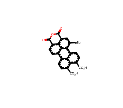 CCCCc1cc2c3c(ccc4c5ccc(C(=O)O)c6c(C(=O)O)ccc(c1c34)c65)C(=O)OC2=O